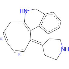 C1=C\CC2=C(C(=C3CCNCC3)\C=C/1)c1ccccc1CN2